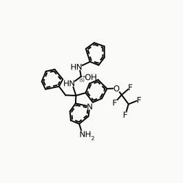 Nc1ccc(C(Cc2ccccc2)(N[C@@H](O)Nc2ccccc2)c2ccc(OC(F)(F)C(F)F)cc2)nc1